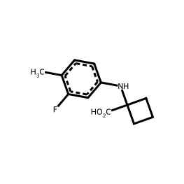 Cc1ccc(NC2(C(=O)O)CCC2)cc1F